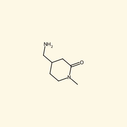 CN1CCC(CN)CC1=O